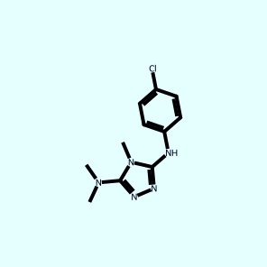 CN(C)c1nnc(Nc2ccc(Cl)cc2)n1C